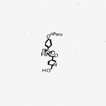 CCCCCOc1ccc(S(=O)(=O)NC(=O)c2ccc(CO)nc2)cc1